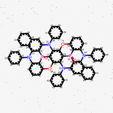 O=P12c3c4cccc3N(c3ccccc3)c3c1c(cc1ccccc31)N(c1ccccc1)c1c3c5c(c(c12)O4)N(c1ccccc1)c1cc2ccccc2c2c1P5(=O)c1c(cccc1N2c1ccccc1)O3